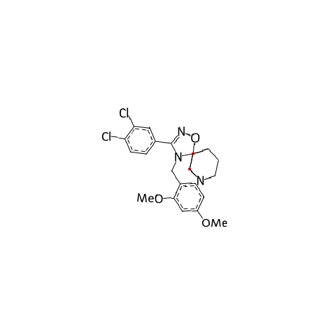 COc1ccc(CN2C(c3ccc(Cl)c(Cl)c3)=NOC23CN2CCC3CC2)c(OC)c1